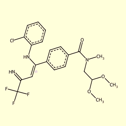 COC(CN(C)C(=O)c1ccc(/C(=C/C(=N)C(F)(F)F)Nc2ccccc2Cl)cc1)OC